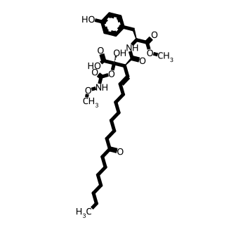 CCCCCCCC(=O)CCCCCC/C=C/[C@H](C(=O)N[C@@H](Cc1ccc(O)cc1)C(=O)OC)[C@@](O)(OC(=O)NOC)C(=O)O